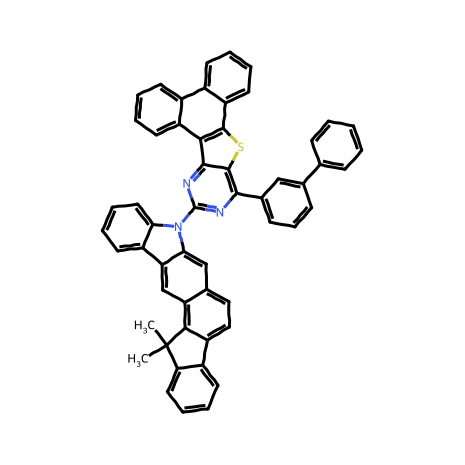 CC1(C)c2ccccc2-c2ccc3cc4c(cc3c21)c1ccccc1n4-c1nc(-c2cccc(-c3ccccc3)c2)c2sc3c4ccccc4c4ccccc4c3c2n1